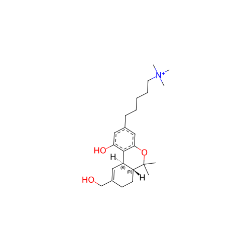 CC1(C)Oc2cc(CCCCC[N+](C)(C)C)cc(O)c2[C@@H]2C=C(CO)CC[C@H]21